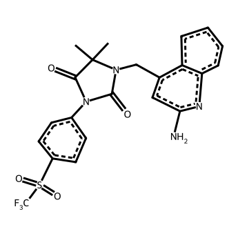 CC1(C)C(=O)N(c2ccc(S(=O)(=O)C(F)(F)F)cc2)C(=O)N1Cc1cc(N)nc2ccccc12